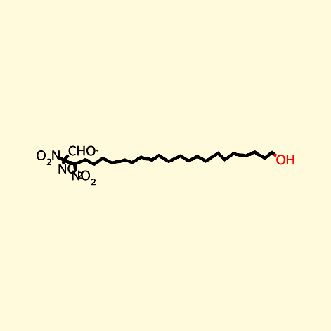 O=[C]C(C(CCCCCCCCCCCCCCCCCCCCCO)[N+](=O)[O-])([N+](=O)[O-])[N+](=O)[O-]